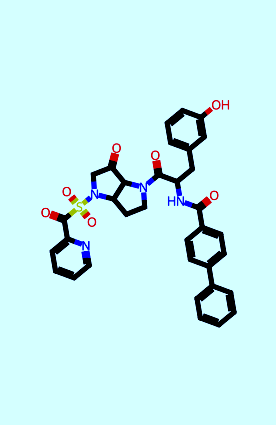 O=C(NC(Cc1cccc(O)c1)C(=O)N1CCC2C1C(=O)CN2S(=O)(=O)C(=O)c1ccccn1)c1ccc(-c2ccccc2)cc1